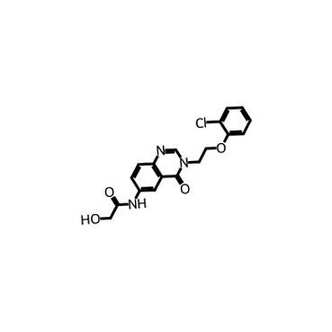 O=C(CO)Nc1ccc2ncn(CCOc3ccccc3Cl)c(=O)c2c1